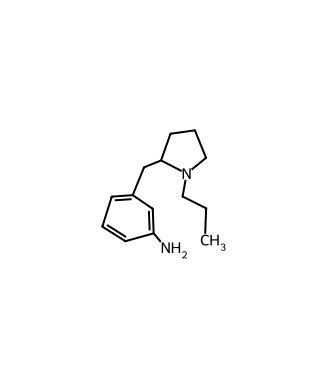 CCCN1CCCC1Cc1cccc(N)c1